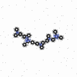 c1ccc(-c2cc(-c3ccc(-c4ccc(-n5c6ccccc6c6cc(-c7ccc8c(c7)c7ccccc7n8-c7cccc(-c8nc(-c9ccccc9)nc(-c9ccccc9)n8)c7)ccc65)cc4)cc3)nc(-n3c4ccccc4c4cc(-c5ccc6c(c5)c5ccccc5n6-c5ccccc5)ccc43)n2)cc1